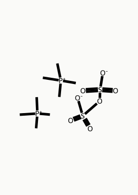 C[P+](C)(C)C.C[P+](C)(C)C.O=S(=O)([O-])OS(=O)(=O)[O-]